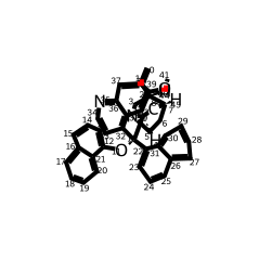 C=C[C@H]1CN2CC[C@H]1C[C@H]2[C@@](Oc1cccc2ccccc12)(c1cccc2ccccc12)c1ccnc2ccc(OC)cc12